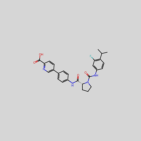 CC(C)c1ccc(NC(=O)N2CCC[C@@H]2C(=O)Nc2ccc(-c3ccc(C(=O)O)nc3)cc2)cc1F